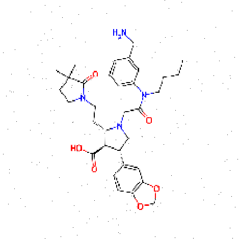 CCCCN(C(=O)CN1C[C@H](c2ccc3c(c2)OCO3)[C@@H](C(=O)O)[C@@H]1CCN1CCC(C)(C)C1=O)c1cccc(CN)c1